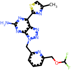 Cc1csc(-c2nc(N)nc3c2nnn3Cc2cccc(COC(F)F)n2)n1